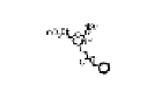 CCOC(=O)CSC[C@H](CCC(=O)OCc1ccccc1)NC(=O)OC(C)(C)C